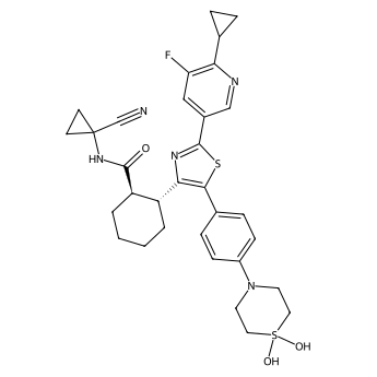 N#CC1(NC(=O)[C@@H]2CCCC[C@H]2c2nc(-c3cnc(C4CC4)c(F)c3)sc2-c2ccc(N3CCS(O)(O)CC3)cc2)CC1